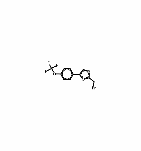 FC(F)(F)Oc1ccc(-c2csc(CBr)n2)cc1